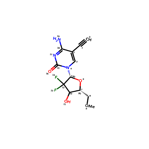 C#Cc1cn([C@@H]2O[C@H](COC)C(O)C2(F)F)c(=O)nc1N